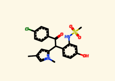 Cc1cc(C(C(=O)c2ccc(Cl)cc2)c2ccc(O)cc2NS(C)(=O)=O)n(C)c1